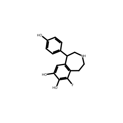 Oc1ccc(C2CNCCc3c2cc(O)c(O)c3F)cc1